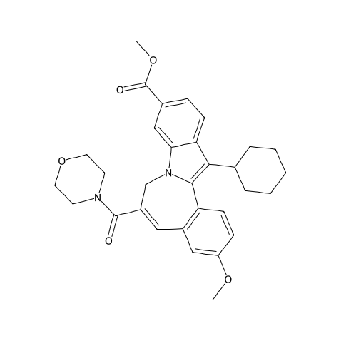 COC(=O)c1ccc2c(C3CCCCC3)c3n(c2c1)CC(C(=O)N1CCOCC1)=Cc1cc(OC)ccc1-3